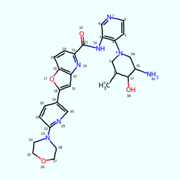 CC1CN(c2ccncc2NC(=O)c2ccc3oc(-c4ccc(N5CCOCC5)nc4)cc3n2)CC(N)C1O